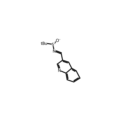 CC(C)(C)[S+]([O-])/N=C/c1cnc2ccccc2c1